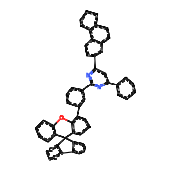 c1ccc(-c2cc(-c3ccc4c(ccc5ccccc54)c3)nc(-c3cccc(-c4cccc5c4Oc4ccccc4C54c5ccccc5-c5ccccc54)c3)n2)cc1